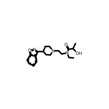 CCN(CCN1CCC(c2noc3ccccc23)CC1)C(=O)C(C)O